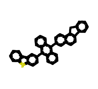 c1ccc2c(c1)Cc1c-2ccc2cc(-c3c4ccccc4c(-c4ccc5sc6ccccc6c5c4)c4ccccc34)ccc12